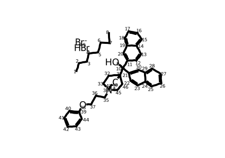 Br.CCCCCCCC.OC(c1ccc2ccccc2c1)(c1ccc2ccccc2c1)C12CC[N+](CCCOc3ccccc3)(CC1)CC2.[Br-]